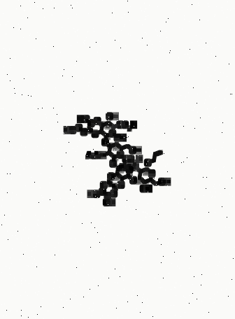 C=CCO[C@@H]1OC(CO)[C@H](O)[C@H](O[C@@H]2OC(C(=O)O)[C@@H](O[C@@H]3OC(CO)[C@H](O)[C@H](O[C@@H]4OC(C(=O)O)[C@@H](O)[C@H](OOO)C4OSOOO)C3NC(C)=O)[C@H](OSOOO)C2OSOOO)C1NC(C)=O